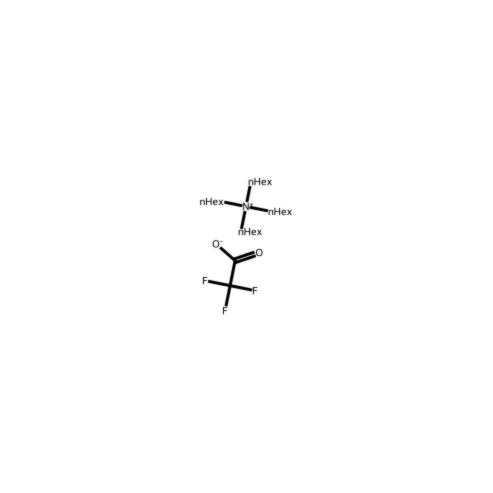 CCCCCC[N+](CCCCCC)(CCCCCC)CCCCCC.O=C([O-])C(F)(F)F